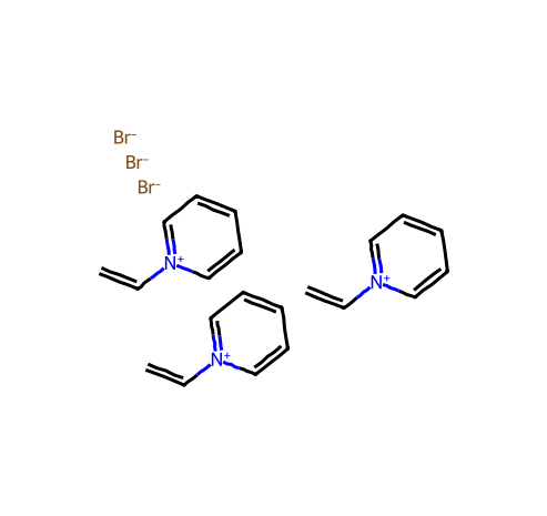 C=C[n+]1ccccc1.C=C[n+]1ccccc1.C=C[n+]1ccccc1.[Br-].[Br-].[Br-]